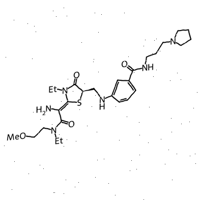 CCN(CCOC)C(=O)/C(N)=C1\S[C@H](CNc2cccc(C(=O)NCCCN3CCCC3)c2)C(=O)N1CC